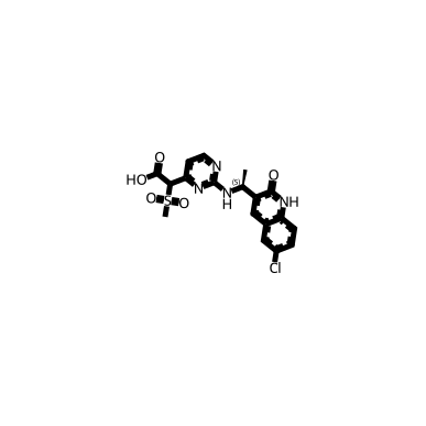 C[C@H](Nc1nccc(C(C(=O)O)S(C)(=O)=O)n1)c1cc2cc(Cl)ccc2[nH]c1=O